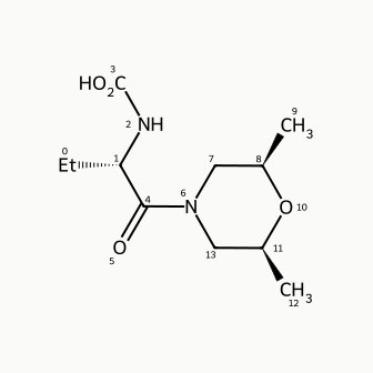 CC[C@H](NC(=O)O)C(=O)N1C[C@@H](C)O[C@@H](C)C1